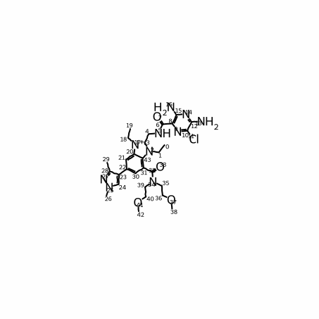 CCn1c(CNC(=O)c2nc(Cl)c(N)nc2N)[n+](CC)c2cc(-c3cn(C)nc3C)cc(C(=O)N(CCOC)CCOC)c21